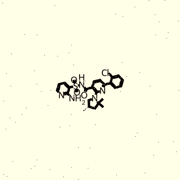 C[C@@H]1CN(c2nc(-c3ccccc3Cl)ccc2C(=O)NS(=O)(=O)c2cccnc2N)C(C)(C)C1